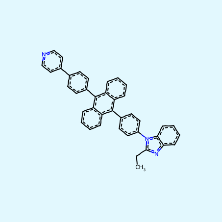 CCc1nc2ccccc2n1-c1ccc(-c2c3ccccc3c(-c3ccc(-c4ccncc4)cc3)c3ccccc23)cc1